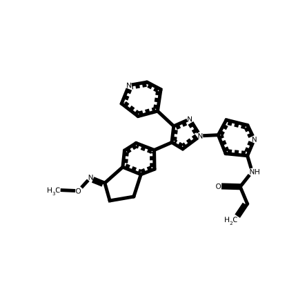 C=CC(=O)Nc1cc(-n2cc(-c3ccc4c(c3)CC/C4=N\OC)c(-c3ccncc3)n2)ccn1